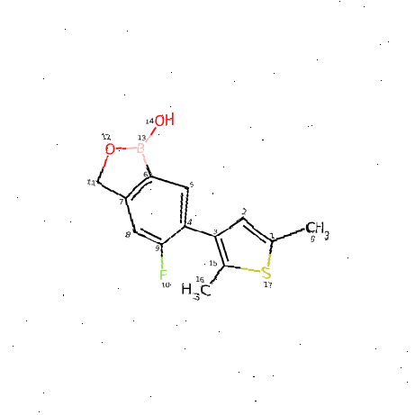 Cc1cc(-c2cc3c(cc2F)COB3O)c(C)s1